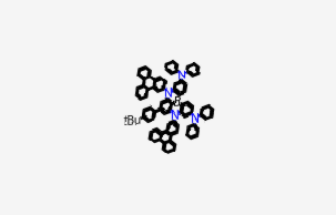 CC(C)(C)c1ccc(-c2cc3c4c(c2)N(c2ccc5c6ccccc6c6ccccc6c5c2)c2cc(N(c5ccccc5)c5ccccc5)ccc2B4c2ccc(N(c4ccccc4)c4ccccc4)cc2N3c2ccc3c4ccccc4c4ccccc4c3c2)cc1